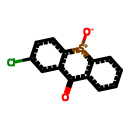 O=c1c2ccccc2[s+]([O-])c2ccc(Cl)cc12